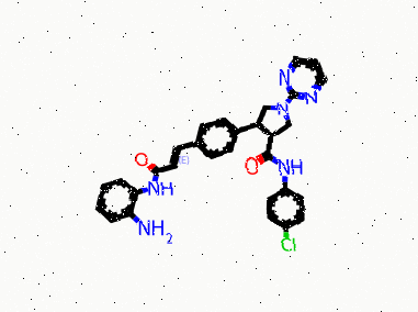 Nc1ccccc1NC(=O)/C=C/c1ccc(C2CN(c3ncccn3)CC2C(=O)Nc2ccc(Cl)cc2)cc1